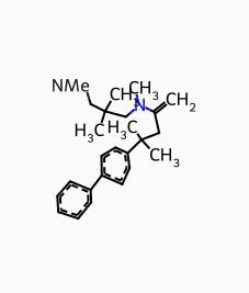 C=C(CC(C)(C)c1ccc(-c2ccccc2)cc1)N(C)CC(C)(C)CNC